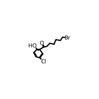 O=C(CCCCCCBr)c1cc(Cl)ccc1O